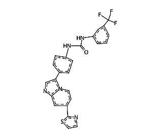 O=C(Nc1ccc(-c2cnc3cc(-c4nccs4)ccn23)cc1)Nc1cccc(C(F)(F)F)c1